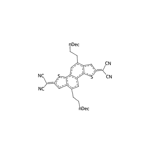 CCCCCCCCCCCCc1cc2c(cc(CCCCCCCCCCCC)c3cc(=C(C#N)C#N)sc32)c2sc(=C(C#N)C#N)cc12